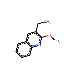 CCc1cc2ccccc2nc1OC